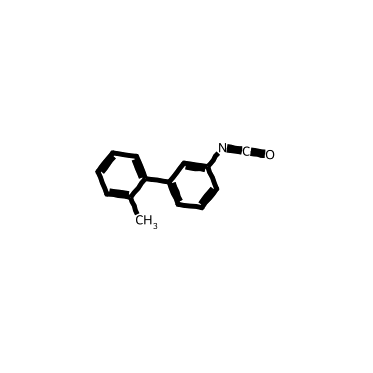 Cc1ccccc1-c1cccc(N=C=O)c1